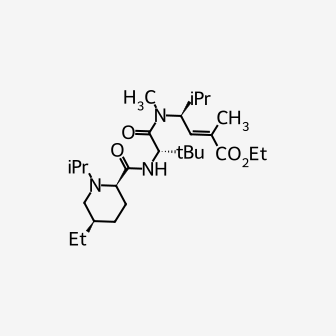 CCOC(=O)/C(C)=C/[C@H](C(C)C)N(C)C(=O)[C@@H](NC(=O)[C@H]1CC[C@@H](CC)CN1C(C)C)C(C)(C)C